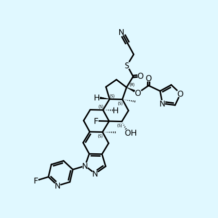 C[C@]12Cc3cnn(-c4ccc(F)nc4)c3C=C1CC[C@H]1[C@@H]3CC[C@](OC(=O)c4cocn4)(C(=O)SCC#N)[C@@]3(C)C[C@H](O)C12F